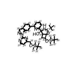 CC(C)(C)[S@@+]([O-])N[C@@](O)(c1cccc(-c2ccc3cnn(-c4nccc(CO[Si](C)(C)C(C)(C)C)n4)c3c2)n1)C1CC(O[Si](C)(C)C(C)(C)C)C1